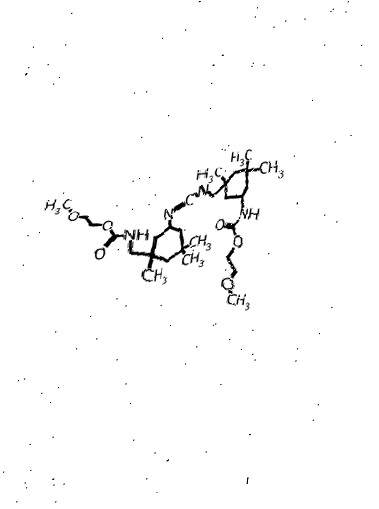 COCCOC(=O)NCC1(C)CC(N=C=NCC2(C)CC(NC(=O)OCCOC)CC(C)(C)C2)CC(C)(C)C1